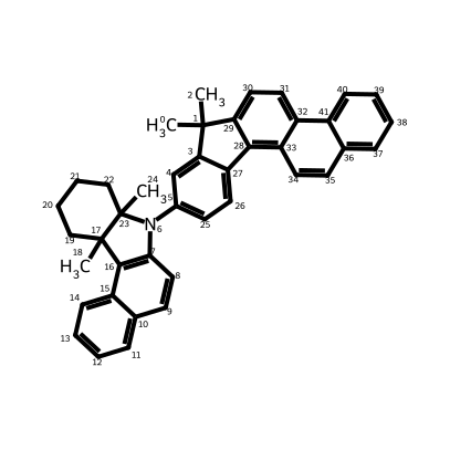 CC1(C)c2cc(N3c4ccc5ccccc5c4C4(C)CCCCC34C)ccc2-c2c1ccc1c2ccc2ccccc21